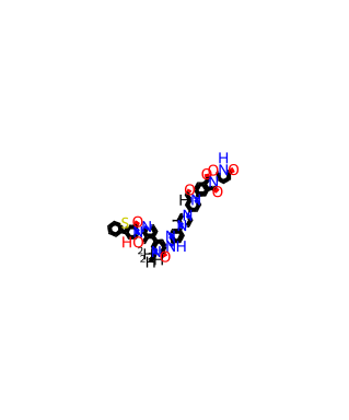 [2H]C([2H])([2H])n1cc(-c2ccnc(N3CCc4c(sc5c4CCCC5)C3=O)c2CO)cc(Nc2ccc(N3CCN([C@@H]4CCN5c6cc7c(cc6OC[C@H]5C4)C(=O)N(C4CCC(=O)NC4=O)C7=O)C[C@@H]3C)cn2)c1=O